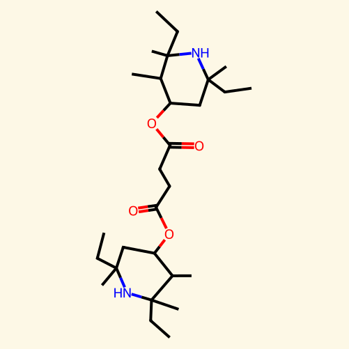 CCC1(C)CC(OC(=O)CCC(=O)OC2CC(C)(CC)NC(C)(CC)C2C)C(C)C(C)(CC)N1